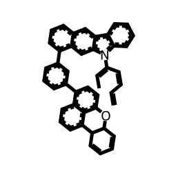 C=C/C=C\C(=C/C)n1c2ccccc2c2cc3cccc(-c4cccc(-c5ccc6c7c(cccc57)C5C=CC=CC5O6)c4)c3cc21